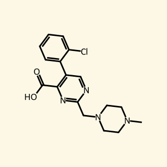 CN1CCN(Cc2ncc(-c3ccccc3Cl)c(C(=O)O)n2)CC1